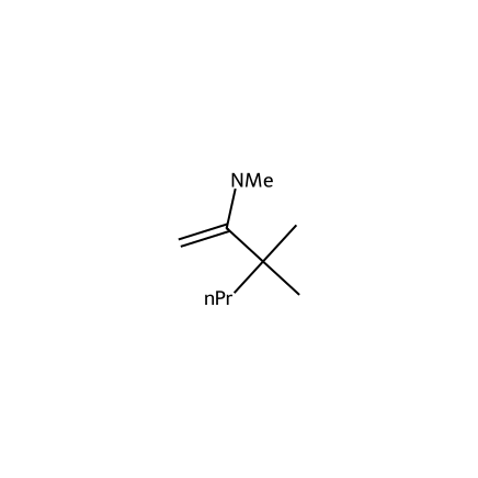 C=C(NC)C(C)(C)CCC